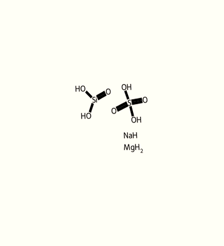 O=S(=O)(O)O.O=[Si](O)O.[MgH2].[NaH]